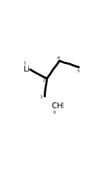 [CH].[Li][CH](C)CC